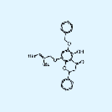 CC(C)(C)/C=C(/COc1cc(OCc2ccccc2)c(O)c2c1OC(c1ccccc1)CC2=O)C(C)(C)C